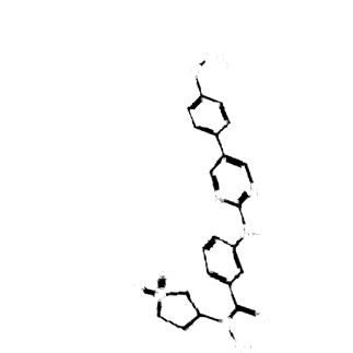 COc1ccc(-c2cnc(Nc3cccc(C(=O)N(C)C4CCS(=O)(=O)C4)c3)nc2)cc1